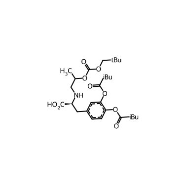 CCC(C)C(=O)Oc1ccc(C[C@H](NCC(C)OC(=O)OCC(C)(C)C)C(=O)O)cc1OC(=O)C(C)CC